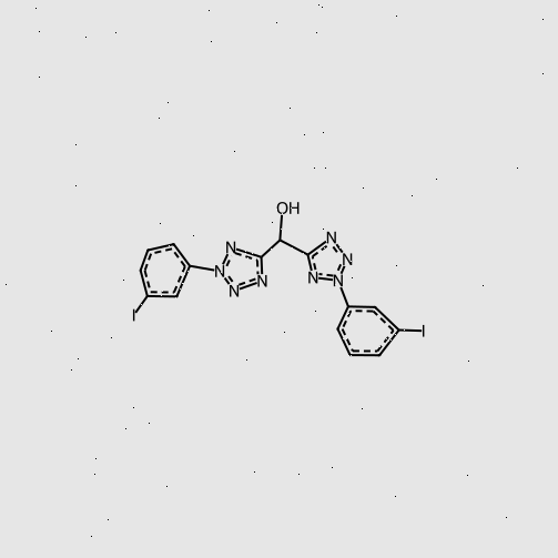 OC(c1nnn(-c2cccc(I)c2)n1)c1nnn(-c2cccc(I)c2)n1